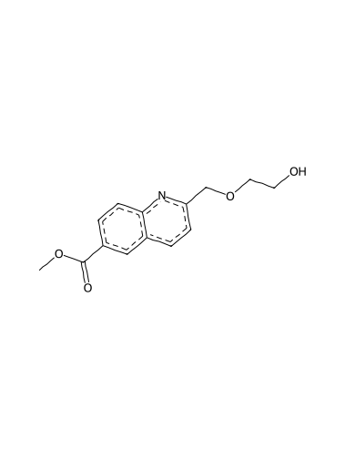 COC(=O)c1ccc2nc(COCCO)ccc2c1